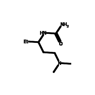 CCC(CCN(C)C)NC(N)=O